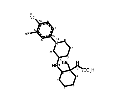 CC(C)(C)C1(NC(=O)O)CCCCC1NC1CCCN(c2ccc(C#N)c(F)c2)C1